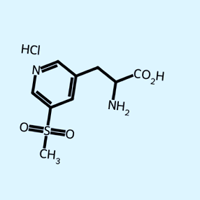 CS(=O)(=O)c1cncc(CC(N)C(=O)O)c1.Cl